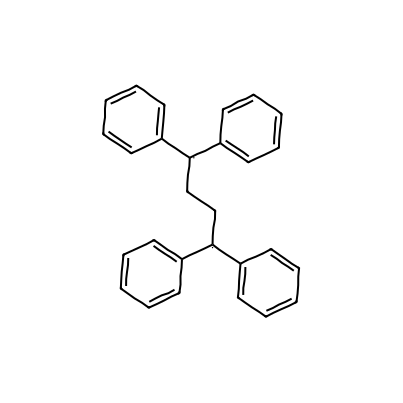 c1ccc([C](CC[C](c2ccccc2)c2ccccc2)c2ccccc2)cc1